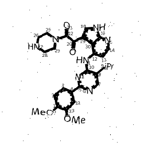 COc1ccc(-c2ncc(C(C)C)c(Nc3ccnc4[nH]cc(C(=O)C(=O)N5CCNCC5)c34)n2)cc1OC